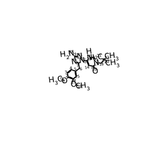 COc1ccc(Cc2nc(N)nn2C2=CC(=O)N(CC(C)(C)C)CN2)cc1OC